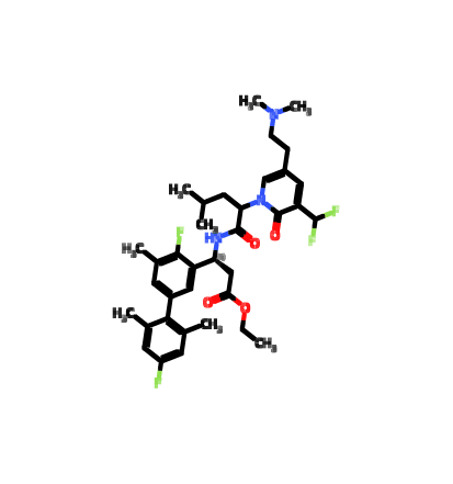 CCOC(=O)C[C@H](NC(=O)C(CC(C)C)n1cc(CCN(C)C)cc(C(F)F)c1=O)c1cc(-c2c(C)cc(F)cc2C)cc(C)c1F